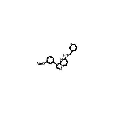 COc1cccc(-c2cnn3ccc(NCc4cccnc4)nc23)c1